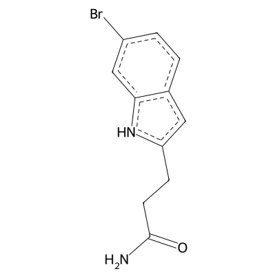 NC(=O)CCc1cc2ccc(Br)cc2[nH]1